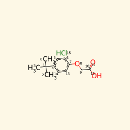 CC(C)(C)c1ccc(OCC(=O)O)cc1.Cl